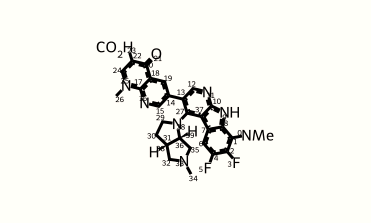 CNc1c(F)c(F)cc2c1[nH]c1ncc(-c3cnc4c(c3)c(=O)c(C(=O)O)cn4C)c(N3CC[C@H]4CN(C)C[C@H]43)c12